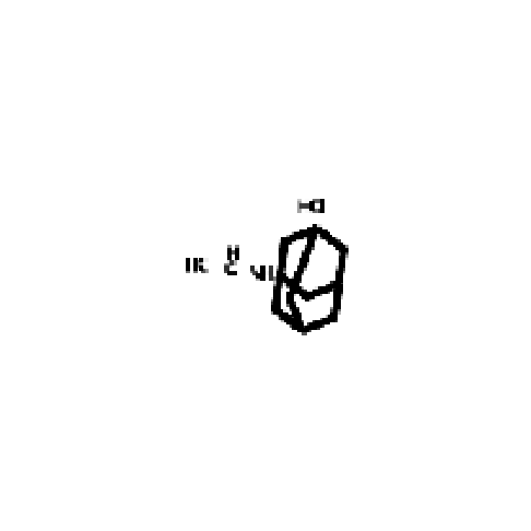 C1C2CC3CC1CC(C2)C3.Cl.Cl.Cl.N